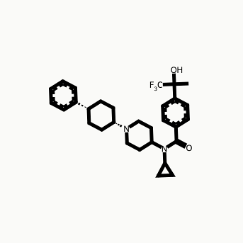 CC(O)(c1ccc(C(=O)N(C2CC2)C2CCN([C@H]3CC[C@@H](c4ccccc4)CC3)CC2)cc1)C(F)(F)F